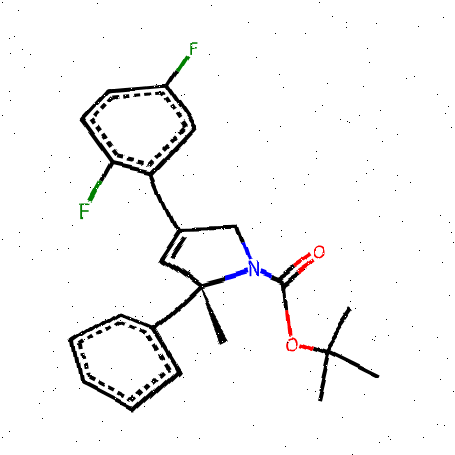 CC(C)(C)OC(=O)N1CC(c2cc(F)ccc2F)=C[C@@]1(C)c1ccccc1